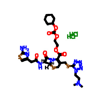 CN(C)CCn1nnnc1SCC1=C(C(=O)OCCOC(=O)OC2CCCCC2)N2C(=O)[C@@H](NC(=O)Cc3csc(N)n3)[C@@H]2SC1.Cl.Cl